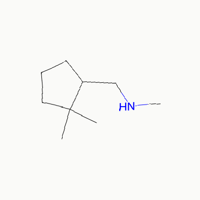 CNCC1CCCC1(C)C